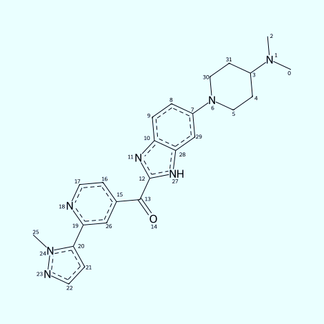 CN(C)C1CCN(c2ccc3nc(C(=O)c4ccnc(-c5ccnn5C)c4)[nH]c3c2)CC1